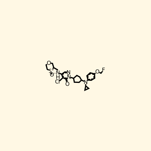 O=c1c(Cl)c(NCC2COCC[S+]2[O-])cnn1C1CCC(N(c2ccc(OCF)cc2)C2CC2)CC1